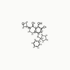 O=C1c2c(O)c(=O)nc(CC3(c4ccccc4)CCCC3)n2CCN1C1COC1